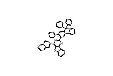 c1ccc(-c2cc3c(cc2-c2nc(-c4ccc5ccccc5c4)c4sc5ccccc5c4n2)-c2ccccc2C3(c2ccccc2)c2ccccc2)cc1